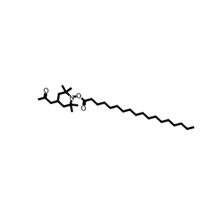 CCCCCCCCCCCCCCCCCC(=O)ON1C(C)(C)CC(CC(C)=O)CC1(C)C